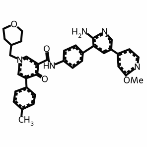 COc1cc(-c2cnc(N)c(-c3ccc(NC(=O)c4cn(CC5CCOCC5)cc(-c5ccc(C)cc5)c4=O)cc3)c2)ccn1